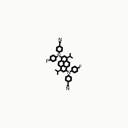 CC(C)c1cc(N(c2ccc(F)cc2)c2ccc(C#N)cc2)c2ccc3c(C(C)C)cc(N(c4ccc(F)cc4)c4ccc(C#N)cc4)c4ccc1c2c34